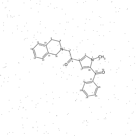 Cn1cc(C(=O)CN2CCc3ccccc3C2)cc1C(=O)c1ccccc1